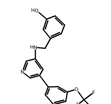 Oc1cccc(CNc2cncc(-c3cccc(OC(F)(F)F)c3)c2)c1